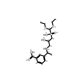 CCOC(OCC)P(=O)(O)CC(O)CNC(C)c1cccc(C(=O)O)c1